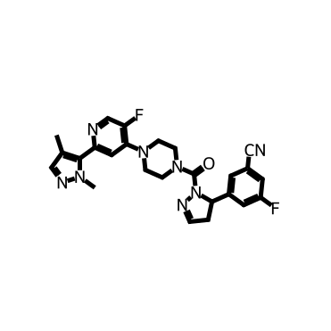 Cc1cnn(C)c1-c1cc(N2CCN(C(=O)N3N=CCC3c3cc(F)cc(C#N)c3)CC2)c(F)cn1